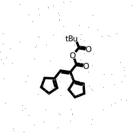 CC(C)(C)C(=O)OC(=O)C(=CC1=CCCC1)C1=CCCC1